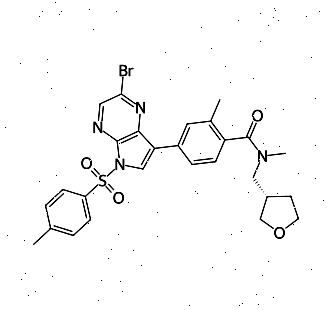 Cc1ccc(S(=O)(=O)n2cc(-c3ccc(C(=O)N(C)C[C@@H]4CCOC4)c(C)c3)c3nc(Br)cnc32)cc1